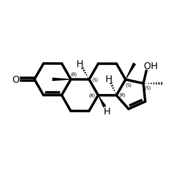 C[C@]12CCC(=O)C=C1CC[C@@H]1[C@@H]2CC[C@@]2(C)[C@H]1C=C[C@]2(C)O